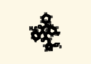 Cc1ccccc1C(C(=O)NC1CCCCC1)N(C(=O)Cn1ccnc1C(F)(F)F)C1=CC=CC(F)C1